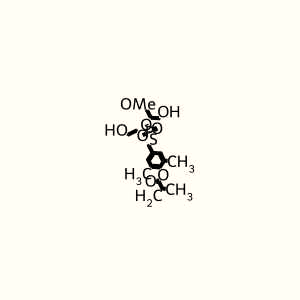 C=C(C)C(=O)Oc1c(C)cc(CSP(=O)(OCCO)OC(CO)COC)cc1C